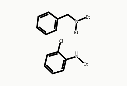 CCN(CC)Cc1ccccc1.CCNc1ccccc1Cl